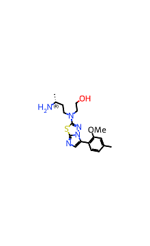 COc1cc(C)ccc1-c1cnc2sc(N(CCO)CC[C@@H](C)N)nn12